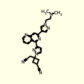 CN(C)CCn1cc(-c2cc3ncccc3c(-c3ccn(C4(CC#N)CC(C#N)C4)n3)n2)cn1